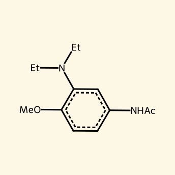 CCN(CC)c1cc(NC(C)=O)ccc1OC